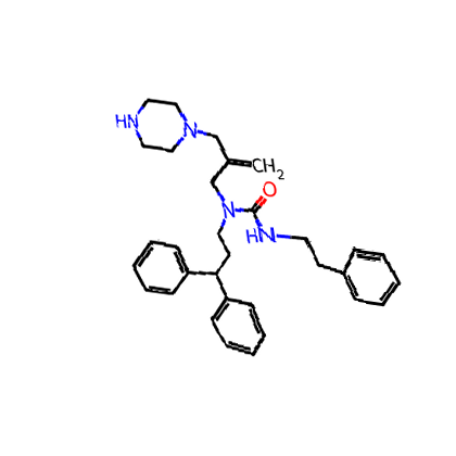 C=C(CN1CCNCC1)CN(CCC(c1ccccc1)c1ccccc1)C(=O)NCCc1ccccc1